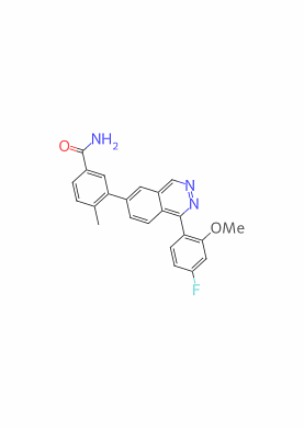 COc1cc(F)ccc1-c1nncc2cc(-c3cc(C(N)=O)ccc3C)ccc12